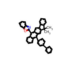 CC1(C)c2ccccc2-c2cc3c(-c4nc5ccccc5o4)c4ccccc4c(-c4ccc(-c5ccccc5)cc4)c3cc21